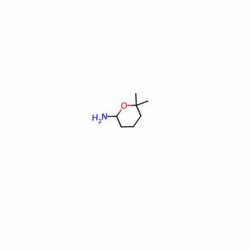 CC1(C)CCCC(N)O1